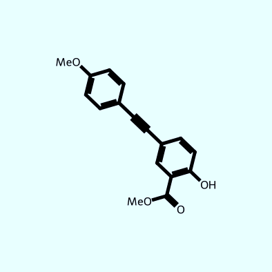 COC(=O)c1cc(C#Cc2ccc(OC)cc2)ccc1O